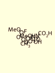 COc1cc(F)cc(C(=O)c2cc(C)c(Oc3ccc4c(O)c(C(=O)NCC(=O)O)nc(OC)c4c3)c(C)c2)c1